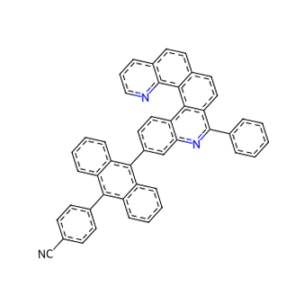 N#Cc1ccc(-c2c3ccccc3c(-c3ccc4c(c3)nc(-c3ccccc3)c3ccc5ccc6cccnc6c5c34)c3ccccc23)cc1